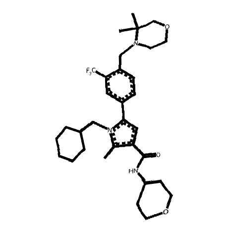 Cc1c(C(=O)NC2CCOCC2)cc(-c2ccc(CN3CCOCC3(C)C)c(C(F)(F)F)c2)n1CC1CCCCC1